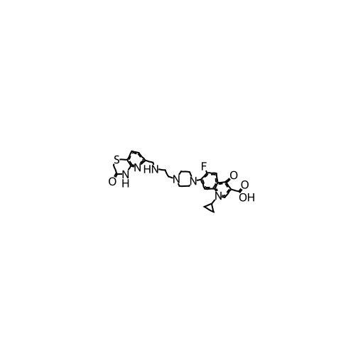 O=C1CSc2ccc(CNCCN3CCN(c4cc5c(cc4F)c(=O)c(C(=O)O)cn5C4CC4)CC3)nc2N1